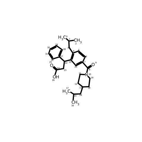 CC(C)Cc1ccc(C(=O)N2CCC(CC(C)C)CC2)cc1C(CC(=O)O)c1ccccc1